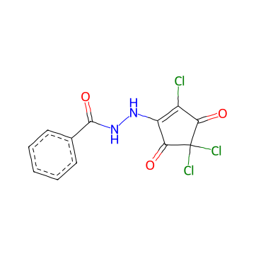 O=C(NNC1=C(Cl)C(=O)C(Cl)(Cl)C1=O)c1ccccc1